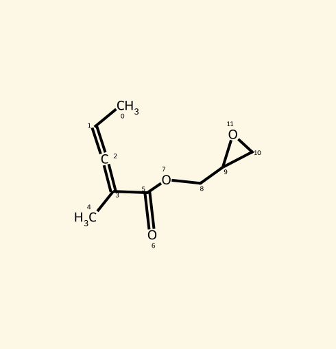 CC=C=C(C)C(=O)OCC1CO1